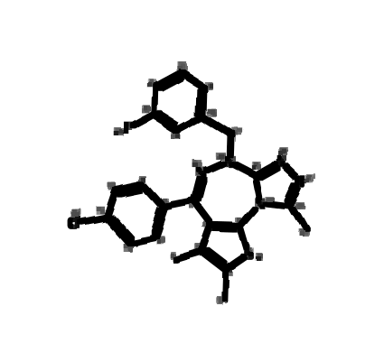 Cc1sc2c(c1C)C(c1ccc(Cl)cc1)=NN(Cc1cccc(F)c1)c1nnc(C)n1-2